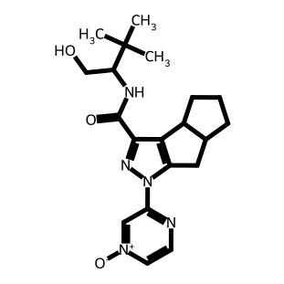 CC(C)(C)C(CO)NC(=O)c1nn(-c2c[n+]([O-])ccn2)c2c1C1CCCC1C2